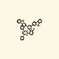 CC1(C)c2ccccc2-c2ccc(-c3cc(-c4ccc5c(c4)C(C)(C)c4ccccc4-5)c4oc5cccc(-c6nc(-c7ccccc7)nc(-c7ccccc7)n6)c5c4c3)cc21